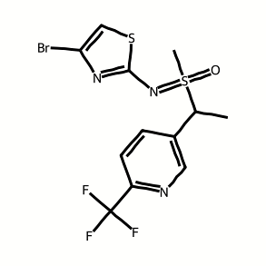 CC(c1ccc(C(F)(F)F)nc1)S(C)(=O)=Nc1nc(Br)cs1